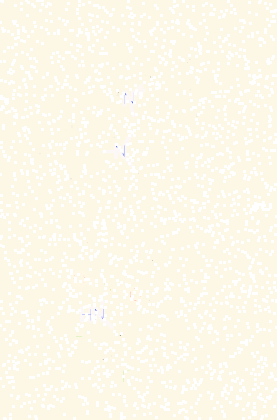 O=S(=O)(NC1(C(F)(F)F)CC1)c1ccc(-c2cc3cc(C4CC4)cnc3n2C2CCC2)cc1